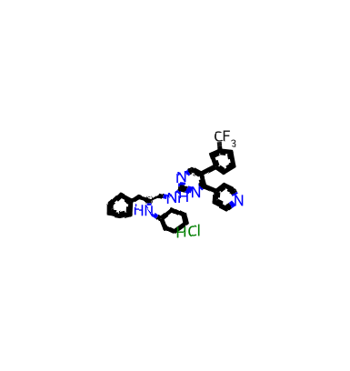 Cl.FC(F)(F)c1cccc(-c2cnc(NC[C@H](Cc3ccccc3)NC3CCCCC3)nc2-c2ccncc2)c1